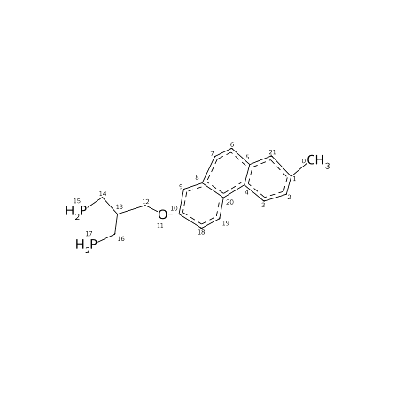 Cc1ccc2c(ccc3cc(OCC(CP)CP)ccc32)c1